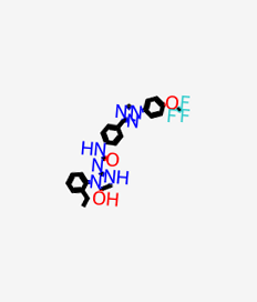 CCc1ccccc1N1/C(=N/C(=O)Nc2ccc(-c3ncn(-c4ccc(OC(F)(F)F)cc4)n3)cc2)NCC1O